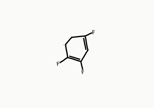 FC1=CC(F)=C(F)[CH]C1